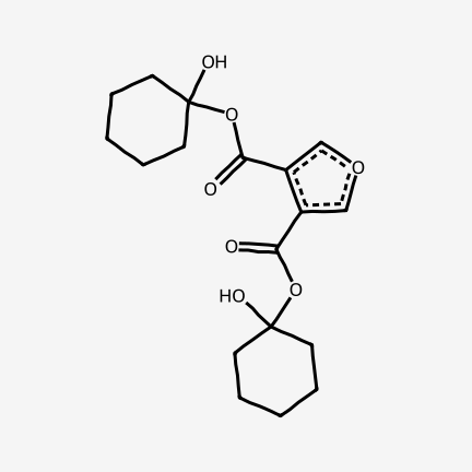 O=C(OC1(O)CCCCC1)c1cocc1C(=O)OC1(O)CCCCC1